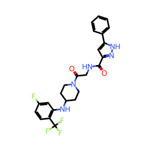 O=C(NCC(=O)N1CCC(Nc2cc(F)ccc2C(F)(F)F)CC1)c1cc(-c2ccccc2)[nH]n1